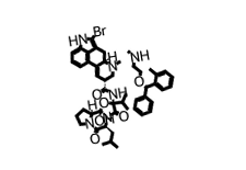 CC(C)C[C@H]1C(=O)N2CCC[C@H]2[C@]2(O)O[C@](NC(=O)[C@@H]3C=C4c5cccc6[nH]c(Br)c(c56)C[C@H]4N(C)C3)(C(C)C)C(=O)N12.CNCCOC(c1ccccc1)c1ccccc1C